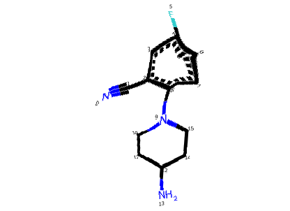 N#Cc1cc(F)ccc1N1CCC(N)CC1